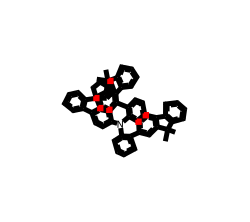 CC1(C)c2ccccc2-c2ccc(-c3ccccc3N(c3ccc4c(c3)C3(CC5CCC3C5)c3ccccc3-4)c3ccccc3-c3cccc4c3-c3ccccc3C4(C)C)cc21